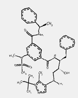 Cc1c(N(C)C[C@@H](O)[C@H](Cc2ccccc2)NC(=O)c2cc(C(=O)N[C@H](C)c3ccccc3)cc(N(C)S(C)(=O)=O)c2)cnn1C(C)(C)C